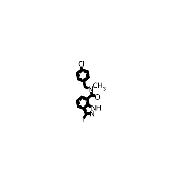 CN(Cc1ccc(Cl)cc1)C(=O)c1cccc2c(I)n[nH]c12